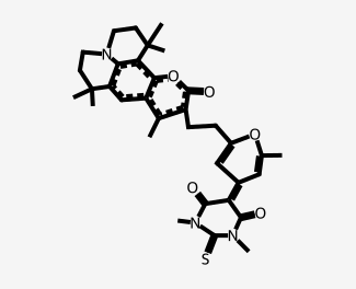 CC1=CC(=C2C(=O)N(C)C(=S)N(C)C2=O)C=C(CCc2c(C)c3cc4c5c(c3oc2=O)C(C)(C)CCN5CCC4(C)C)O1